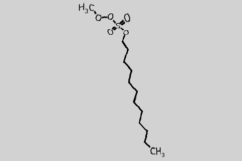 CCCCCCCCCCCCOS(=O)(=O)OOC